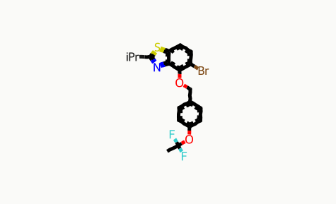 CC(C)c1nc2c(OCc3ccc(OC(C)(F)F)cc3)c(Br)ccc2s1